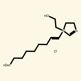 CCCCCCCCCCCCCCCCC=C[N+]1(CCO)C=NCC1.[Cl-]